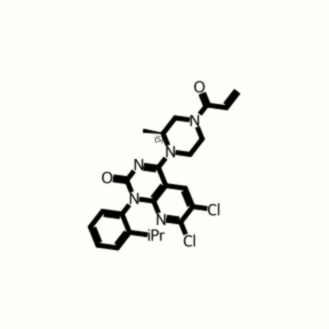 C=CC(=O)N1CCN(c2nc(=O)n(-c3ccccc3C(C)C)c3nc(Cl)c(Cl)cc23)[C@@H](C)C1